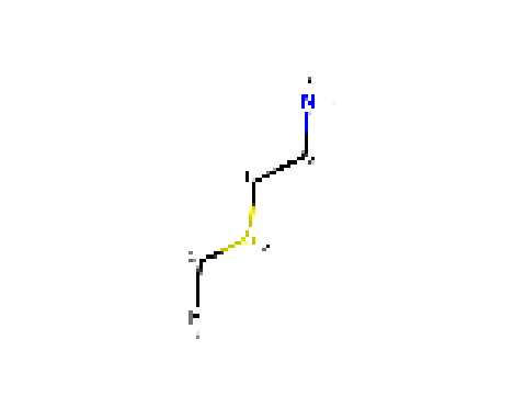 CCCSCC[NH]